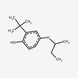 [CH2]CC(C)Oc1ccc(O)c(C(C)(C)C)c1